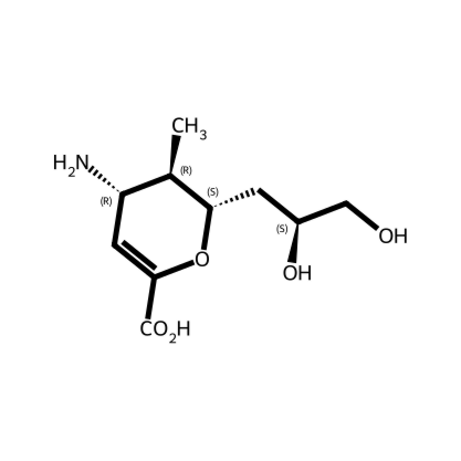 C[C@H]1[C@H](C[C@H](O)CO)OC(C(=O)O)=C[C@@H]1N